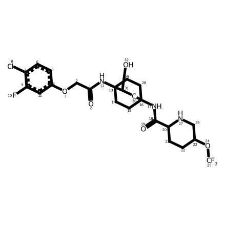 O=C(COc1ccc(Cl)c(F)c1)NC12CCC(NC(=O)C3CCC(OC(F)(F)F)CN3)(CC1)CC2O